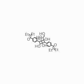 CCN(CC)C(=O)c1ccc(C2C(O)[C@@]3(O)C(c4ccc(C(=O)N(CC)CC)cc4)[C@@](O)([C@H](O)CO)[C@@]23O)cc1